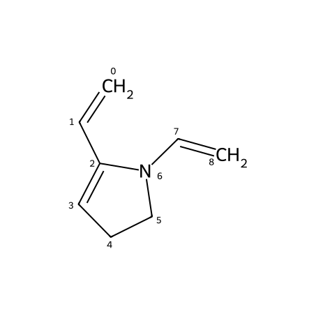 C=CC1=CCCN1C=C